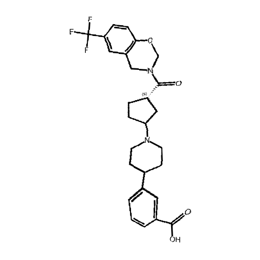 O=C(O)c1cccc(C2CCN(C3CC[C@H](C(=O)N4COc5ccc(C(F)(F)F)cc5C4)C3)CC2)c1